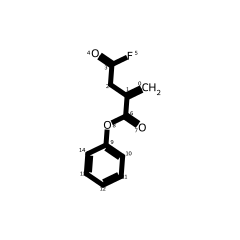 C=C(CC(=O)F)C(=O)Oc1ccccc1